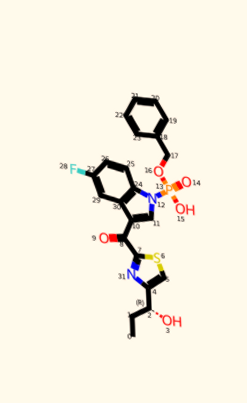 CC[C@@H](O)c1csc(C(=O)c2cn(P(=O)(O)OCc3ccccc3)c3ccc(F)cc23)n1